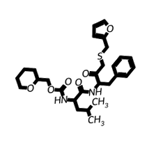 CC(C)CC(NC(=O)OCC1CCCCO1)C(=O)NC(Cc1ccccc1)C(=O)CSCc1ccco1